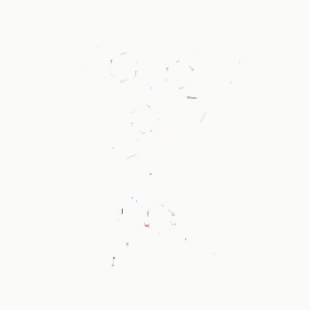 C=C/C=C(\C=C/N(c1ccc(C(C)(C)C)cc1)C1C=CC(c2ccc(N(c3ccc(C(C)(C)C)cc3)c3ccc(C(C)(C)C)cc3)c3c2OC2C=CC=CC32)=C(C(C)(C)C)C1)C(C)(C)C